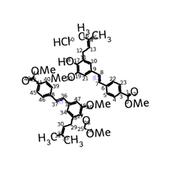 COC(=O)c1ccc(/C=C/c2cc(CC=C(C)C)c(O)c(OC)c2)cc1.COCOc1c(CC=C(C)C)cc(/C=C/c2ccc(C(=O)OC)cc2)cc1OC.Cl